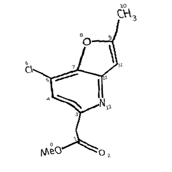 COC(=O)c1cc(Cl)c2oc(C)cc2n1